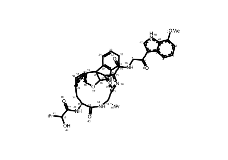 COc1cccc2c(C(=O)CNC(=O)c3nc4oc3C35C6=C(CCC=C6)NC3Oc3ccc(cc35)C[C@H](NC(=O)C(O)C(C)C)C(=O)N[C@H]4C(C)C)c[nH]c12